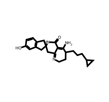 NC1=C2C(=O)NC3(CC2=NCCC1CCCC1CC1)Cc1ccc(O)cc1C3